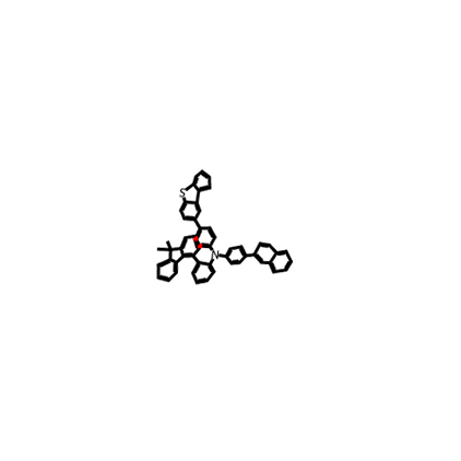 CC1(C)c2ccccc2-c2c(-c3ccccc3N(c3ccc(-c4ccc5ccccc5c4)cc3)c3ccc(-c4ccc5sc6ccccc6c5c4)cc3)cccc21